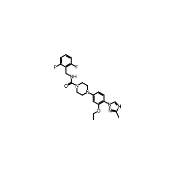 CCOc1cc(N2CCN(C(=O)NCc3c(F)cccc3F)CC2)ccc1-n1cnc(C)n1